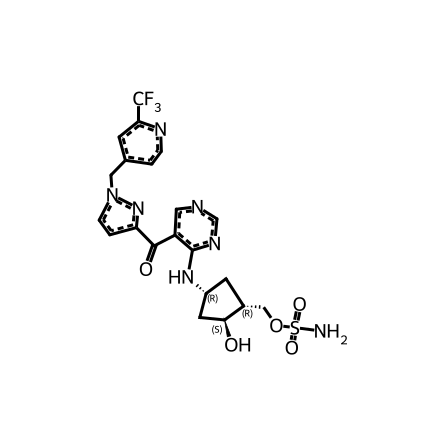 NS(=O)(=O)OC[C@H]1C[C@@H](Nc2ncncc2C(=O)c2ccn(Cc3ccnc(C(F)(F)F)c3)n2)C[C@@H]1O